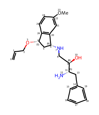 C=CCO[C@H]1C[C@@H](NC[C@@H](O)[C@@H](N)Cc2ccccc2)c2cc(OC)ccc21